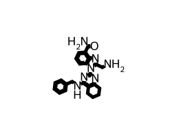 NCc1nc2c(C(N)=O)cccc2n1-c1nc2c(c(NCc3ccccc3)n1)CCCC2